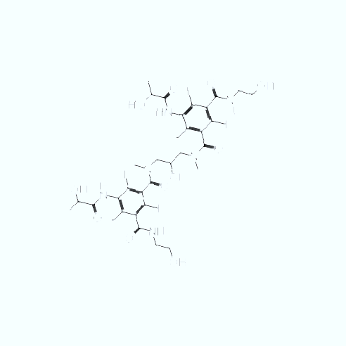 CC(O)C(=O)Nc1c(I)c(C(=O)NCCO)c(I)c(C(=O)N(C)CC(O)CN(C)C(=O)c2c(I)c(NC(=O)C(C)O)c(I)c(C(=O)NCCO)c2I)c1I